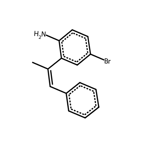 CC(=Cc1ccccc1)c1cc(Br)ccc1N